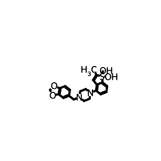 CC1=Cc2c(N3CCN(Cc4ccc5c(c4)OCO5)CC3)cccc2S1(O)O